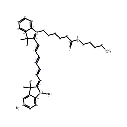 CCCCN1/C(=C/C=C/C=C/C=C/C2=[N+](CCCCCC(=O)NCCCCN)c3ccccc3C2(C)C)C(C)(C)c2ccccc21.[Br-]